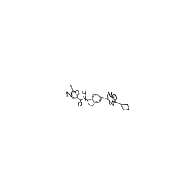 Cc1ncc(C(=O)N[C@@H]2CCc3cc(-c4noc(C5CCC5)n4)ccc32)o1